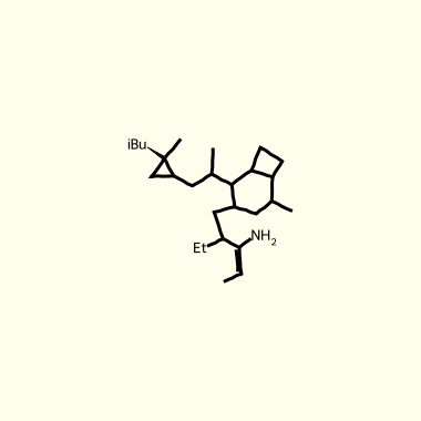 C/C=C(/N)C(CC)CC1CC(C)C2CCC2C1C(C)CC1CC1(C)[C@H](C)CC